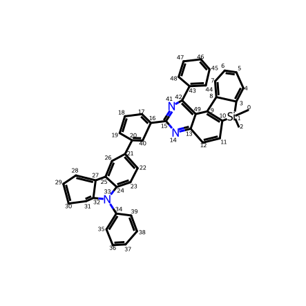 C[Si]1(C)c2ccccc2-c2c1ccc1nc(-c3cccc(-c4ccc5c(c4)c4ccccc4n5-c4ccccc4)c3)nc(-c3ccccc3)c21